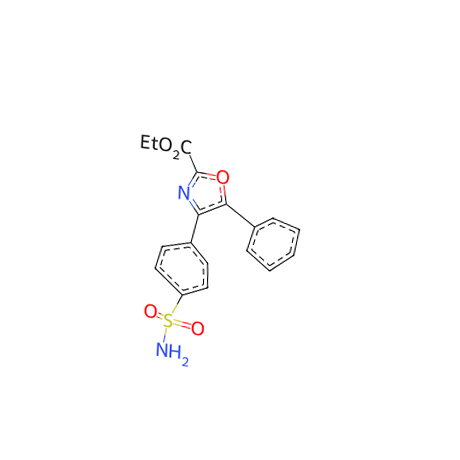 CCOC(=O)c1nc(-c2ccc(S(N)(=O)=O)cc2)c(-c2ccccc2)o1